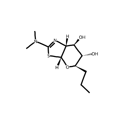 CCC[C@H]1O[C@@H]2SC(N(C)C)=N[C@@H]2[C@@H](O)[C@@H]1O